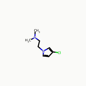 CN(C)CCn1ccc(Cl)c1